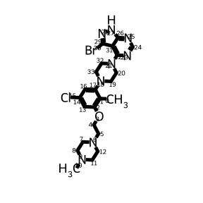 Cc1c(OCCN2CCN(C)CC2)cc(Cl)cc1N1CCN(c2ncnc3[nH]nc(Br)c23)CC1